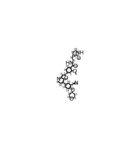 COc1cc(-c2cc3nccc(-c4ccc(OC5CCOCC5)c(C#N)c4)c3o2)ccc1C(=O)NCCN1CCNC1=O